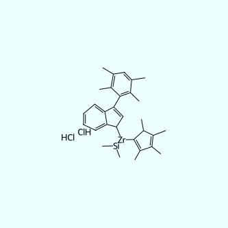 CC1=C(C)C(C)[C]([Zr]([CH]2C=C(c3c(C)c(C)cc(C)c3C)c3ccccc32)=[Si](C)C)=C1C.Cl.Cl